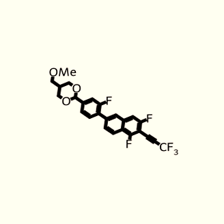 COCC1COC(c2ccc(-c3ccc4c(F)c(C#CC(F)(F)F)c(F)cc4c3)c(F)c2)OC1